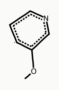 COc1[c]ccnc1